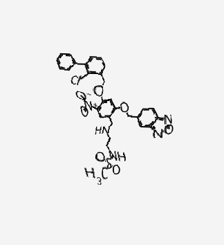 CS(=O)(=O)NCCNCc1cc([N+](=O)[O-])c(OCc2cccc(-c3ccccc3)c2Cl)cc1OCc1ccc2nonc2c1